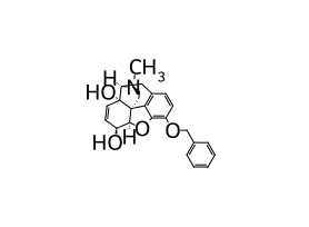 CN1CC[C@]23c4c5ccc(OCc6ccccc6)c4O[C@H]2[C@@H](O)C=C[C@@]3(O)[C@H]1C5